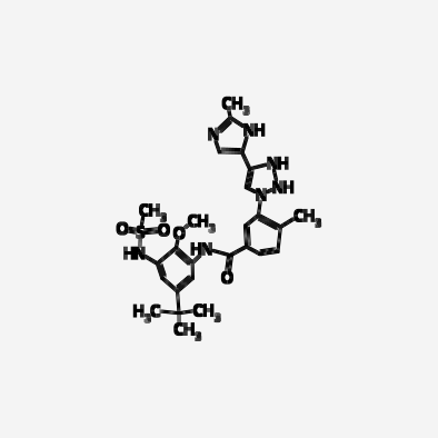 COc1c(NC(=O)c2ccc(C)c(N3C=C(c4cnc(C)[nH]4)NN3)c2)cc(C(C)(C)C)cc1NS(C)(=O)=O